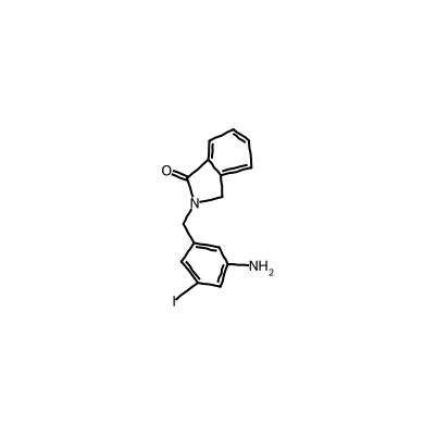 Nc1cc(I)cc(CN2Cc3ccccc3C2=O)c1